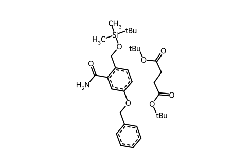 CC(C)(C)OC(=O)CCC(=O)OC(C)(C)C.CC(C)(C)[Si](C)(C)OCc1ccc(OCc2ccccc2)cc1C(N)=O